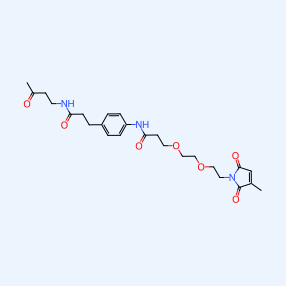 CC(=O)CCNC(=O)CCc1ccc(NC(=O)CCOCCOCCN2C(=O)C=C(C)C2=O)cc1